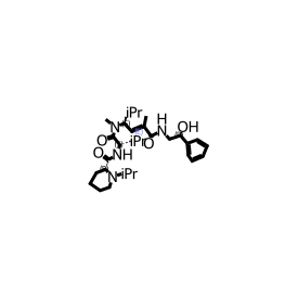 C/C(=C\[C@H](C(C)C)N(C)C(=O)[C@@H](NC(=O)[C@H]1CCCCN1C(C)C)C(C)C)C(=O)NC[C@H](O)c1ccccc1